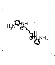 Nc1cccc(NC(=O)CCCCCC(=O)Nc2ccccc2N)c1